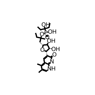 CCC(C)(C[C@H]1O[C@@H](c2cc3c(C)c(C)c[nH]c-3nc2=O)[C@@H](O)C1O)OP(=O)(O)C(O)(CC)CC